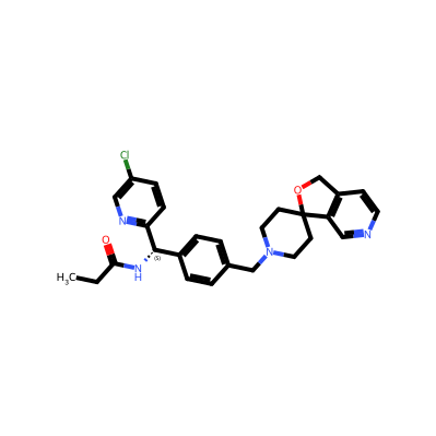 CCC(=O)N[C@@H](c1ccc(CN2CCC3(CC2)OCc2ccncc23)cc1)c1ccc(Cl)cn1